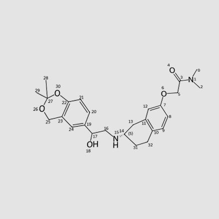 CN(C)C(=O)COc1ccc2c(c1)C[C@@H](NCC(O)c1ccc3c(c1)COC(C)(C)O3)CC2